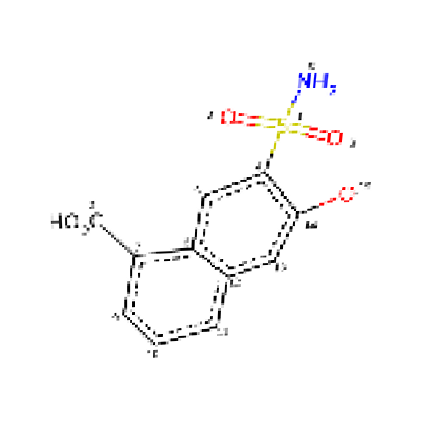 NS(=O)(=O)c1cc2c(C(=O)O)cccc2cc1[O]